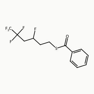 O=C(SCCC(F)CC(F)(F)C(F)(F)F)c1ccccc1